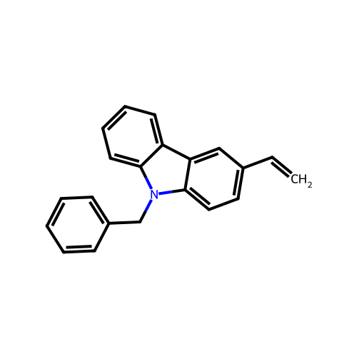 C=Cc1ccc2c(c1)c1ccccc1n2Cc1ccccc1